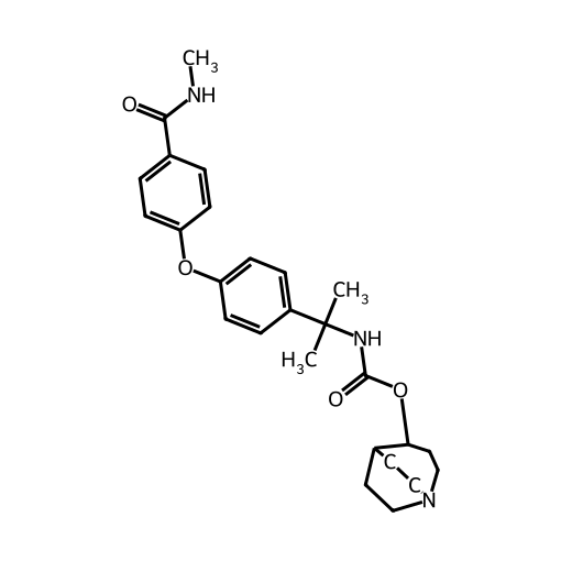 CNC(=O)c1ccc(Oc2ccc(C(C)(C)NC(=O)OC3CCN4CCC3CC4)cc2)cc1